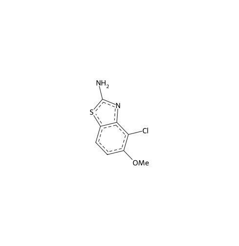 COc1ccc2sc(N)nc2c1Cl